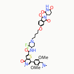 COc1cc(-c2cn(C)c(=O)c3cc(C(=O)NC4CCN(CCCCCOc5ccc6c(c5)C(=O)N(C5CCC(=O)NC5=O)C6=O)CC4(F)F)sc23)cc(OC)c1CN(C)C